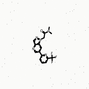 CN(C)C(=O)Cn1ncc2ncc(-c3cccc(C(F)(F)F)n3)cc21